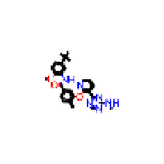 CNc1ncnc(-c2cccnc2Oc2cc(C(=O)Nc3cc(C(C)(C)C)ccc3OC)ccc2C)n1